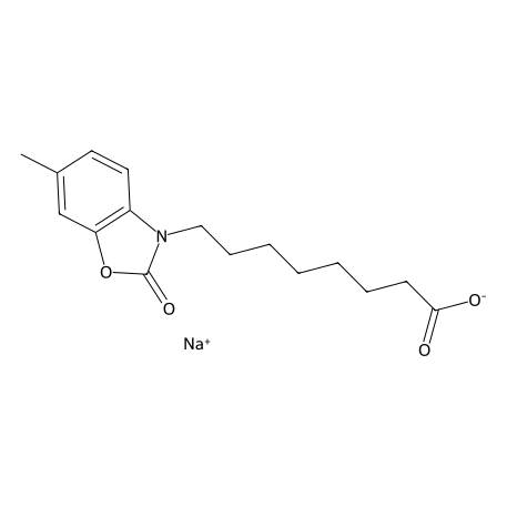 Cc1ccc2c(c1)oc(=O)n2CCCCCCCC(=O)[O-].[Na+]